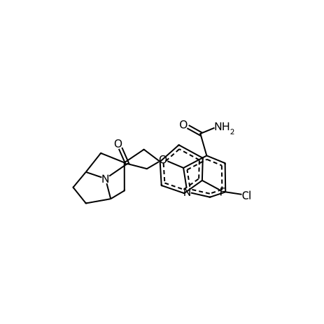 NC(=O)c1cc(Cl)cnc1OCC(=O)N1C2CCC1CC(Cc1ccc(F)cc1)C2